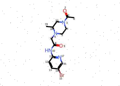 CC(=O)N1CCN(CC(=O)Nc2ccc(Br)cn2)C(C)C1